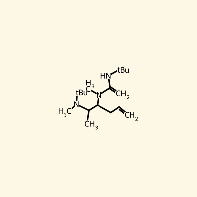 C=CCC(C(C)N(C)C(C)(C)C)N(C)C(=C)NC(C)(C)C